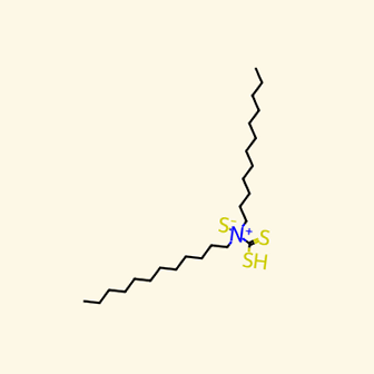 CCCCCCCCCCCC[N+]([S-])(CCCCCCCCCCCC)C(=S)S